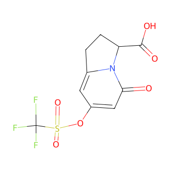 O=C(O)C1CCc2cc(OS(=O)(=O)C(F)(F)F)cc(=O)n21